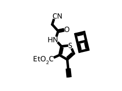 C#Cc1csc(NC(=O)CC#N)c1C(=O)OCC.c1cc2ccc1-2